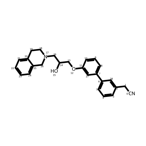 N#CCc1cccc(-c2cccc(OCC(O)CN3CCc4ccccc4C3)c2)c1